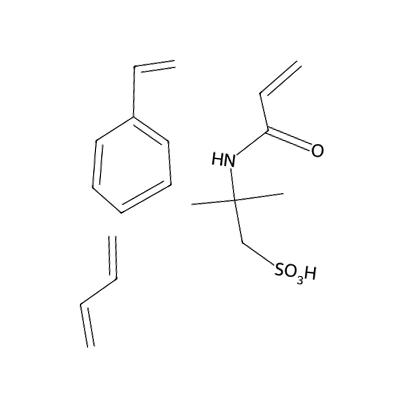 C=CC(=O)NC(C)(C)CS(=O)(=O)O.C=CC=C.C=Cc1ccccc1